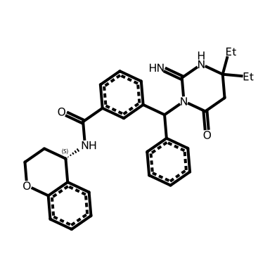 CCC1(CC)CC(=O)N(C(c2ccccc2)c2cccc(C(=O)N[C@H]3CCOc4ccccc43)c2)C(=N)N1